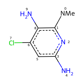 CNc1nc(N)cc(Cl)c1N